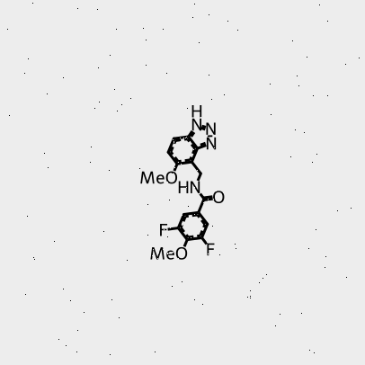 COc1ccc2[nH]nnc2c1CNC(=O)c1cc(F)c(OC)c(F)c1